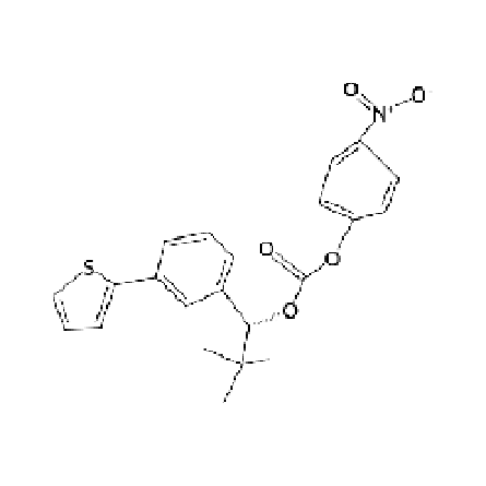 CC(C)(C)[C@@H](OC(=O)Oc1ccc([N+](=O)[O-])cc1)c1cccc(-c2cccs2)c1